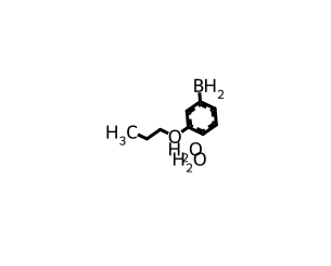 Bc1cccc(OCCC)c1.O.O